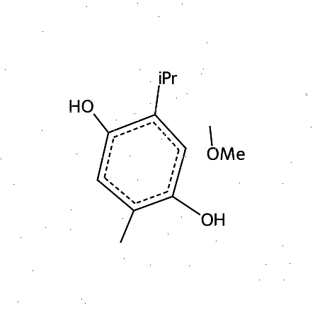 COC.Cc1cc(O)c(C(C)C)cc1O